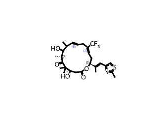 CC(=Cc1csc(C)n1)[C@@H]1C/C=C(\C(F)(F)F)C/C=C/C(C)C(O)[C@@H](C)C(=O)C(C)(C)[C@@H](O)CC(=O)O1